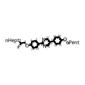 CCCCCCCC(F)COc1ccc(-c2ncc(-c3ccc(OCCCCC)cc3)cn2)cc1